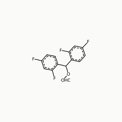 O=[C]OC(c1ccc(F)cc1F)c1ccc(F)cc1F